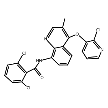 Cc1cnc2c(NC(=O)c3c(Cl)cccc3Cl)cccc2c1Oc1cccnc1Cl